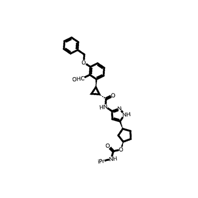 CC(C)NC(=O)O[C@@H]1CC[C@H](c2cc(NC(=O)[C@@H]3C[C@H]3c3cccc(OCc4ccccc4)c3C=O)n[nH]2)C1